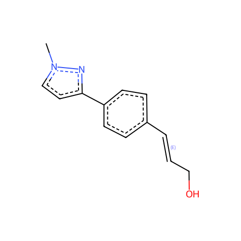 Cn1ccc(-c2ccc(/C=C/CO)cc2)n1